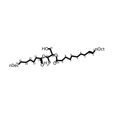 CCCCCCCCC=CCCCCCCCC(=O)OC(CO)C(P)OC(=O)CCCCCCCCCCCCCCC